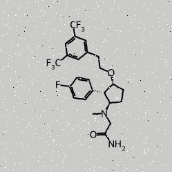 CN(CC(N)=O)[C@@H]1CC[C@H](OCCc2cc(C(F)(F)F)cc(C(F)(F)F)c2)[C@H]1c1ccc(F)cc1